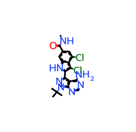 CNC(=O)c1cc(Cl)c2c(Cl)c(-c3nn(C(C)(C)C)c4ncnc(N)c34)[nH]c2c1